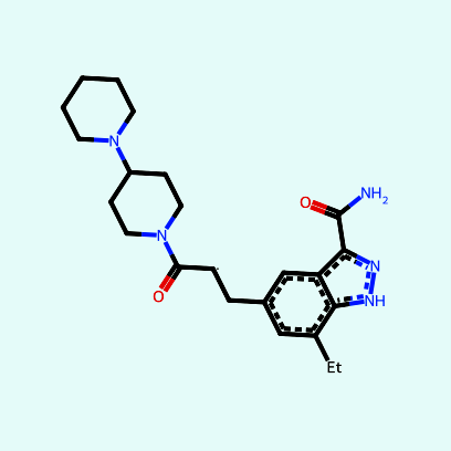 CCc1cc(C[CH]C(=O)N2CCC(N3CCCCC3)CC2)cc2c(C(N)=O)n[nH]c12